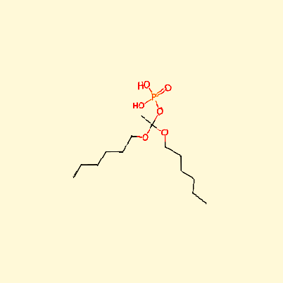 CCCCCCOC(C)(OCCCCCC)OP(=O)(O)O